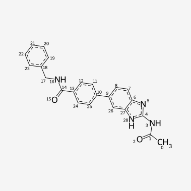 CC(=O)Nc1nc2ccc(-c3ccc(C(=O)NCc4ccccc4)cc3)cc2[nH]1